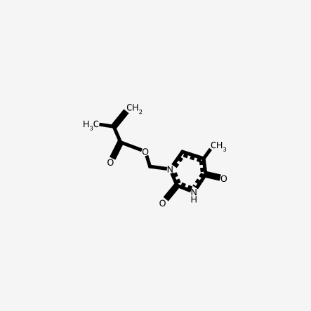 C=C(C)C(=O)OCn1cc(C)c(=O)[nH]c1=O